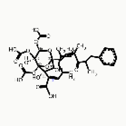 CCC(C)CC(C)/C=C(/C(=O)O)[C@]1(O)[C@@H](O)[C@@]2(CC=C(C)C(=O)C(C)Cc3ccccc3)O[C@H](OC(=O)O)[C@](O)(OC(=O)O)[C@]1(OC(=O)O)O2